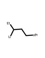 [Li][CH](CC)CCCCC